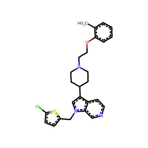 O=C(O)c1ccccc1OCCN1CCC(c2cn(Cc3ccc(Cl)s3)c3cnccc23)CC1